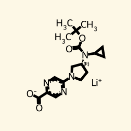 CC(C)(C)OC(=O)N(C1CC1)[C@@H]1CCN(c2cnc(C(=O)[O-])cn2)C1.[Li+]